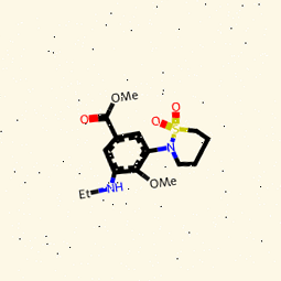 CCNc1cc(C(=O)OC)cc(N2CCCCS2(=O)=O)c1OC